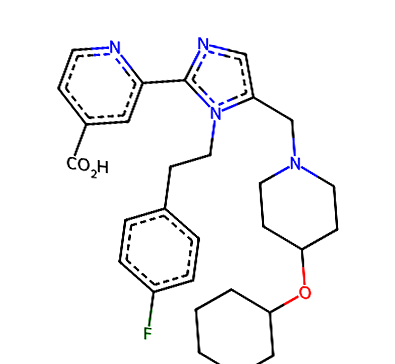 O=C(O)c1ccnc(-c2ncc(CN3CCC(OC4CCCCC4)CC3)n2CCc2ccc(F)cc2)c1